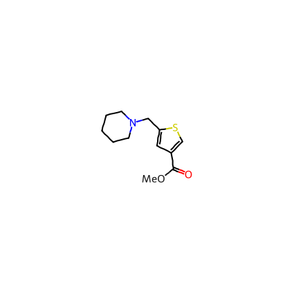 COC(=O)c1csc(CN2CCCCC2)c1